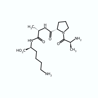 C[C@H](N)C(=O)N1CCC[C@H]1C(=O)N[C@@H](C)C(=O)N[C@@H](CCCCN)C(=O)O